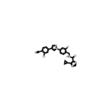 N#Cc1ccc(-c2cnn(-c3ccc(CNC(=O)c4scnc4C4CC4)c(F)c3)c2)cc1Cl